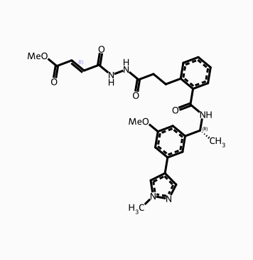 COC(=O)/C=C/C(=O)NNC(=O)CCc1ccccc1C(=O)N[C@H](C)c1cc(OC)cc(-c2cnn(C)c2)c1